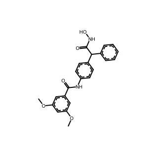 COc1cc(OC)cc(C(=O)Nc2ccc(C(C(=O)NO)c3ccccc3)cc2)c1